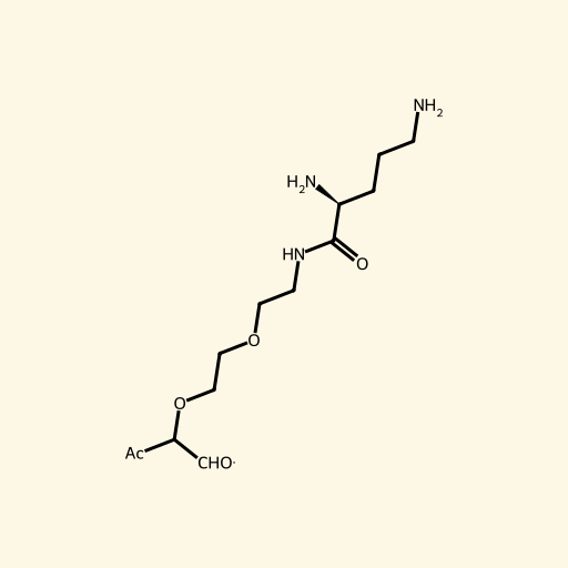 CC(=O)C([C]=O)OCCOCCNC(=O)[C@@H](N)CCCN